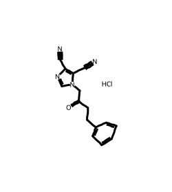 Cl.N#Cc1ncn(CC(=O)CCc2ccccc2)c1C#N